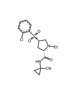 CCN1C[C@H](S(=O)(=O)c2ccccc2Cl)C[C@H]1C(=O)NC1(C#N)CC1